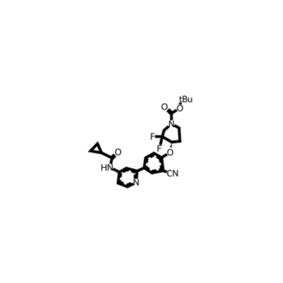 CC(C)(C)OC(=O)N1CC[C@H](Oc2ccc(-c3cc(NC(=O)C4CC4)ccn3)cc2C#N)C(F)(F)C1